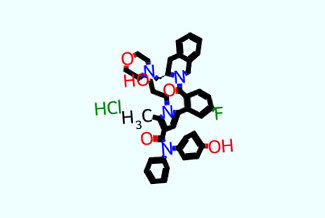 Cc1c(C(=O)N(c2ccccc2)c2ccc(O)cc2)cc(-c2cc(F)ccc2C(=O)N2Cc3ccccc3C[C@H]2CN2CCOCC2)n1CCCO.Cl